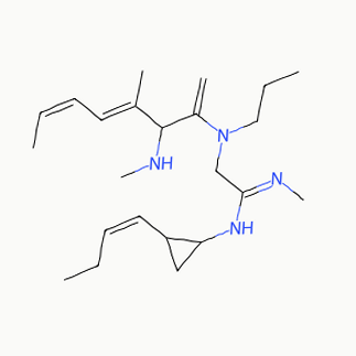 C=C(C(NC)/C(C)=C/C=C\C)N(CCC)C/C(=N/C)NC1CC1/C=C\CC